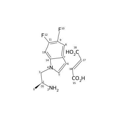 C[C@H](N)Cn1ccc2cc(F)c(F)cc21.O=C(O)C=CC(=O)O